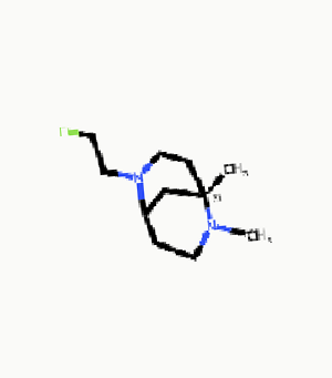 CN1CCC2C[C@]1(C)CCN2CCF